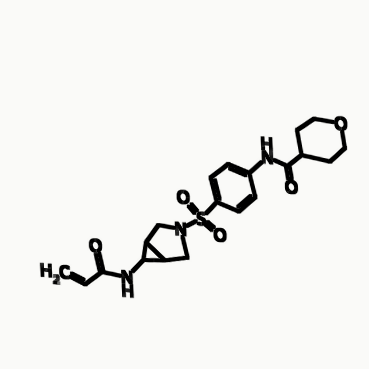 C=CC(=O)NC1C2CN(S(=O)(=O)c3ccc(NC(=O)C4CCOCC4)cc3)CC21